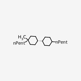 CCCCCC1CCC([C@H]2CC[C@](C)(CCCCC)CC2)CC1